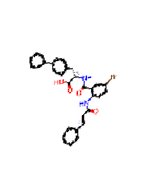 O=C(/C=C/c1ccccc1)Nc1ccc(Br)cc1C(=O)N[C@@H](Cc1ccc(-c2ccccc2)cc1)C(=O)O